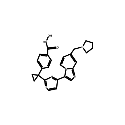 O=C(NO)c1ccc(C2(c3nccc(-c4cnc5cc(CN6CCCC6)ccn45)n3)CC2)cc1